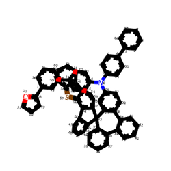 c1ccc(-c2ccc(N(c3ccc(-c4cccc(-c5ccco5)c4)cc3)c3ccc4c(c3)C3(c5ccccc5-c5ccccc5-4)c4ccccc4-c4c3ccc3c4sc4ccccc43)cc2)cc1